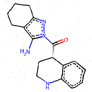 Nc1c2c(nn1C(=O)[C@H]1CCNc3ccccc31)CCCC2